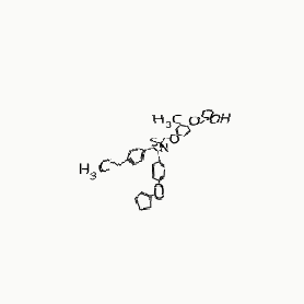 CCCc1ccc(-c2sc(COc3ccc(OCC(=O)O)c(C)c3)nc2-c2ccc(OC3CCCC3)cc2)cc1